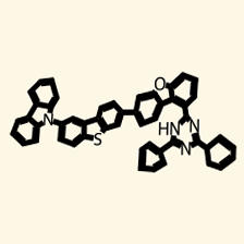 C1=CCC(C2=NC(c3cccc4oc5cc(-c6ccc7c(c6)sc6ccc(-n8c9ccccc9c9ccccc98)cc67)ccc5c34)NC(c3ccccc3)=N2)C=C1